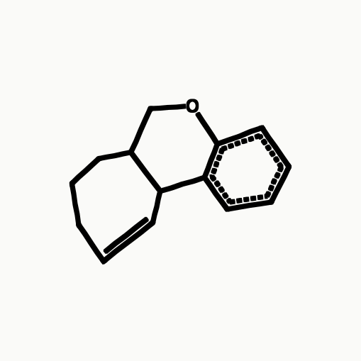 C1=CC2c3ccccc3OCC2CCC1